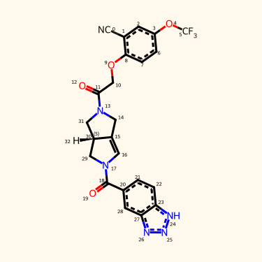 N#Cc1cc(OC(F)(F)F)ccc1OCC(=O)N1CC2=CN(C(=O)c3ccc4[nH]nnc4c3)C[C@@H]2C1